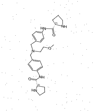 COCCN(Cc1ccc(NC(=O)[C@@H]2CCCN2)cc1)Cc1ccc(NC(=O)[C@@H]2CCCN2)cc1